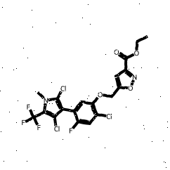 CCOC(=O)c1cc(COc2cc(-c3c(Cl)c(C(F)(F)F)n(C)c3Cl)c(F)cc2Cl)on1